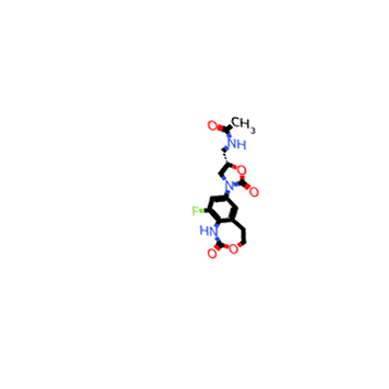 CC(=O)NC[C@H]1CN(c2cc(F)c3c(c2)CCOC(=O)N3)C(=O)O1